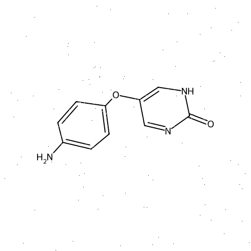 Nc1ccc(Oc2cnc(=O)[nH]c2)cc1